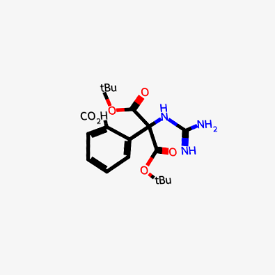 CC(C)(C)OC(=O)C(NC(=N)N)(C(=O)OC(C)(C)C)c1ccccc1C(=O)O